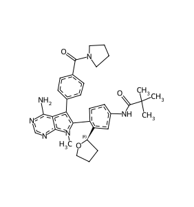 Cn1c(-c2ccc(NC(=O)C(C)(C)C)cc2[C@H]2CCCO2)c(-c2ccc(C(=O)N3CCCC3)cc2)c2c(N)ncnc21